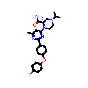 Cc1cc(N2CCN(C(C)C)CC2C(N)=O)nc(-c2ccc(Oc3ccc(F)cc3)cc2)n1